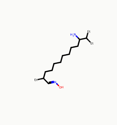 CCC(C=NO)CCCCCCCCC(N)C(CC)CC